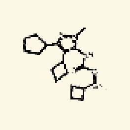 C[C@@H](OC(=O)Nc1c(C2CCC2)c(C2CCCC2)nn1C)C1CCC1